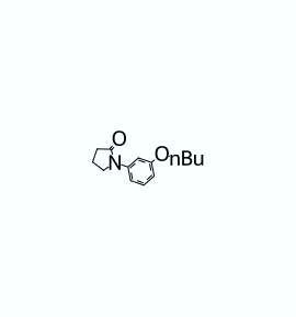 CCCCOc1cccc(N2CCCC2=O)c1